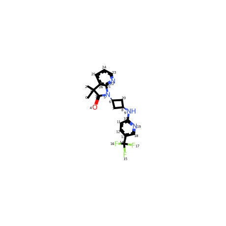 CC1(C)C(=O)N([C@H]2C[C@H](Nc3ccc(C(F)(F)F)cn3)C2)c2ncccc21